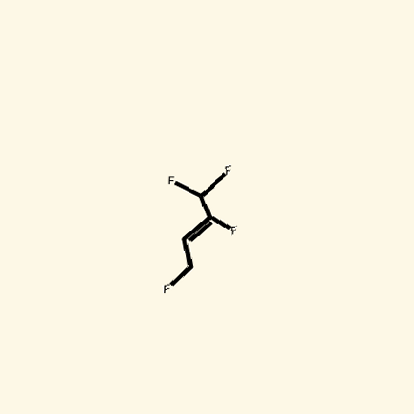 FCC=C(F)C(F)F